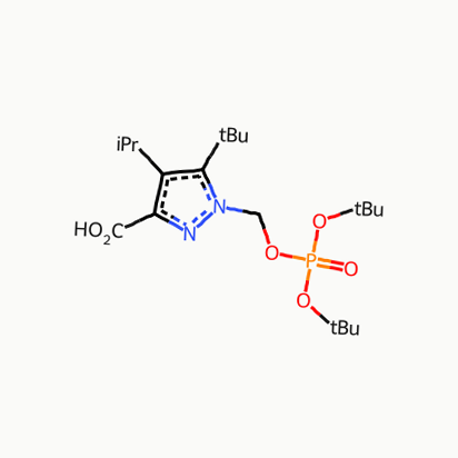 CC(C)c1c(C(=O)O)nn(COP(=O)(OC(C)(C)C)OC(C)(C)C)c1C(C)(C)C